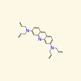 C=CCN(CC=C)c1ccc2cc3ccc(N(CC=C)CC=C)cc3nc2c1